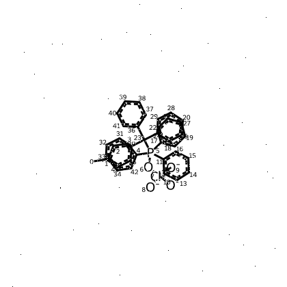 Cc1ccc(P(O[Cl+3]([O-])([O-])[O-])(c2ccccc2)(c2ccccc2)C(c2ccccc2)(c2ccccc2)c2ccccc2)cc1